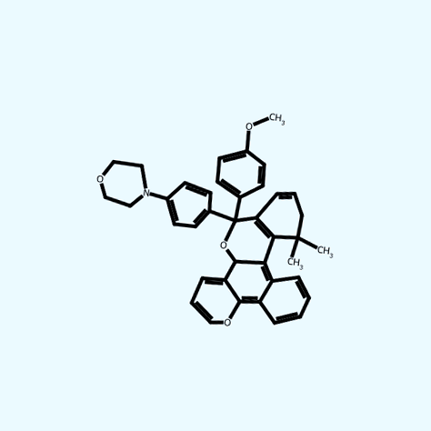 COc1ccc(C2(c3ccc(N4CCOCC4)cc3)OC3C4=CC=COC4=c4ccccc4=C3C3=C2C=CCC3(C)C)cc1